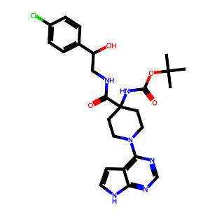 CC(C)(C)OC(=O)NC1(C(=O)NCC(O)c2ccc(Cl)cc2)CCN(c2ncnc3[nH]ccc23)CC1